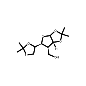 CC1(C)OCC([C@H]2OC3OC(C)(C)O[C@@H]3[C@H]2CO)O1